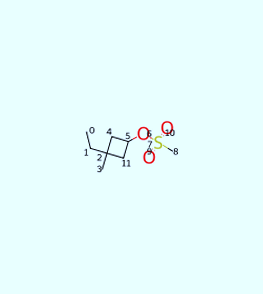 CCC1(C)CC(OS(C)(=O)=O)C1